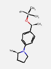 [2H][C@@H]1CCCN1c1ccc([C@H](C)O[Si](C)(C)C(C)(C)C)cc1